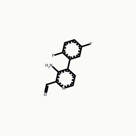 Nc1c(-c2cc(F)ccc2F)ccnc1C=O